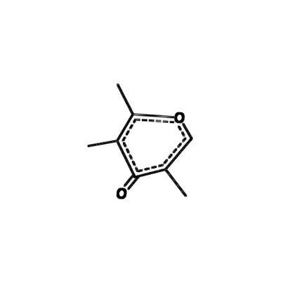 Cc1occ(C)c(=O)c1C